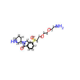 NCCOCCOCC[S+]([O-])c1cccc2c1CN(C1CCCNC1)C2=O